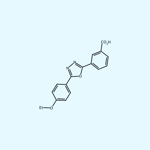 CCOc1ccc(-c2nnc(-c3cccc(C(=O)O)c3)o2)cc1